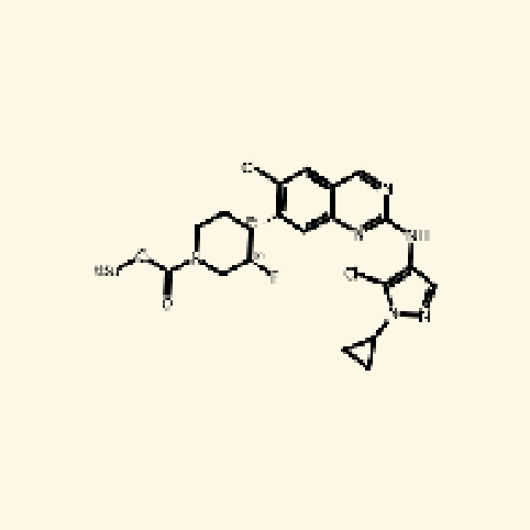 CC(C)(C)OC(=O)N1CC[C@H](c2cc3nc(Nc4cnn(C5CC5)c4Cl)ncc3cc2Cl)[C@@H](F)C1